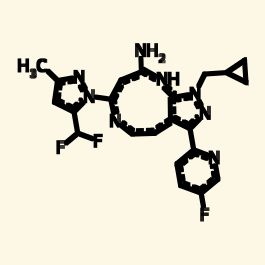 Cc1cc(C(F)F)n(-c2cc(N)[nH]c3c(ccn2)c(-c2ccc(F)cn2)nn3CC2CC2)n1